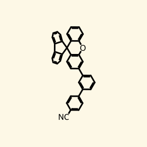 N#Cc1ccc(-c2cccc(-c3ccc4c(c3)Oc3ccccc3C43c4ccccc4-c4ccccc43)c2)cc1